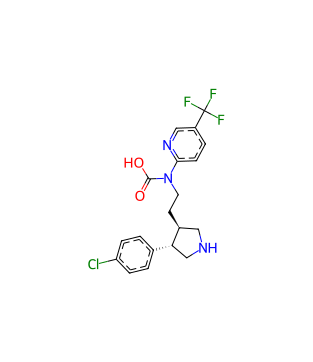 O=C(O)N(CC[C@H]1CNC[C@@H]1c1ccc(Cl)cc1)c1ccc(C(F)(F)F)cn1